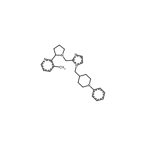 Cc1cccnc1C1CCCN1Cc1nccn1CC1CCN(c2ccccc2)CC1